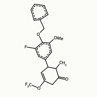 COc1cc(C2C=C(OC(F)(F)F)CC(=O)C2C)cc(F)c1OCc1ccccc1